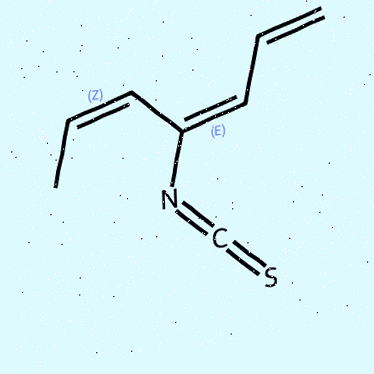 C=C/C=C(\C=C/C)N=C=S